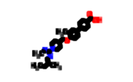 C=N/C(=N\C=C(/C)CC)N1CCC(COc2ccc(C3=CCC(C(=O)O)CC3)cc2C)CC1